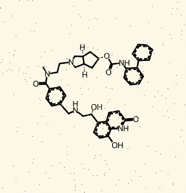 CN(CCN1C[C@H]2C[C@H](OC(=O)Nc3ccccc3-c3ccccc3)C[C@H]2C1)C(=O)c1ccc(CNC[C@H](O)c2ccc(O)c3[nH]c(=O)ccc23)cc1